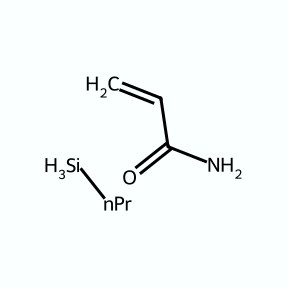 C=CC(N)=O.CCC[SiH3]